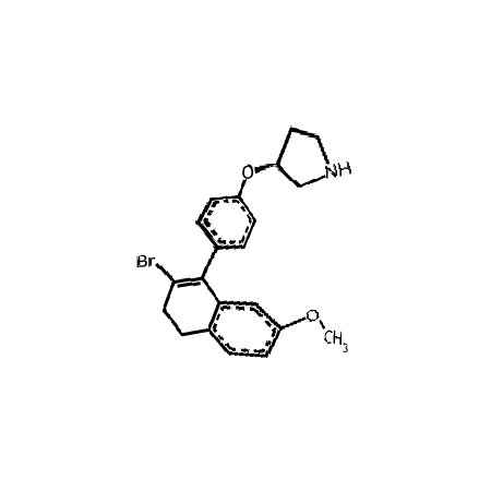 COc1ccc2c(c1)C(c1ccc(O[C@H]3CCNC3)cc1)=C(Br)CC2